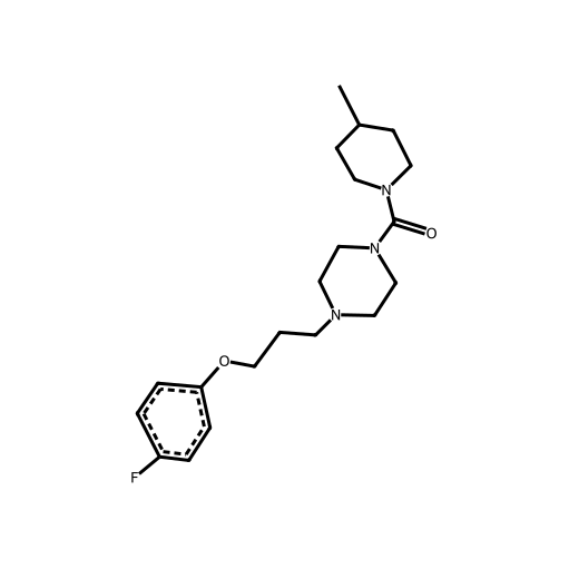 CC1CCN(C(=O)N2CCN(CCCOc3ccc(F)cc3)CC2)CC1